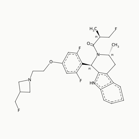 C[C@@H]1Cc2c([nH]c3ccccc23)[C@@H](c2c(F)cc(OCCN3CC(CF)C3)cc2F)N1C(=O)[C@@H](C)CF